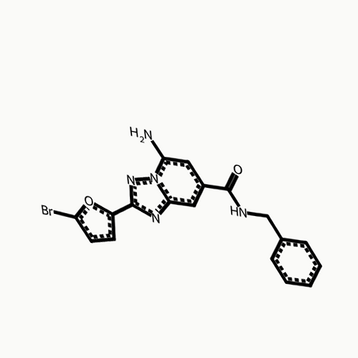 Nc1cc(C(=O)NCc2ccccc2)cc2nc(-c3ccc(Br)o3)nn12